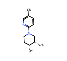 CC(C)[C@@H]1CCN(c2ccc(C#N)cn2)C[C@@H]1C